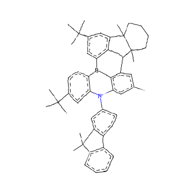 Cc1cc2c3c(c1)N(c1ccc4c(c1)C(C)(C)c1ccccc1-4)c1cc(C(C)(C)C)ccc1B3c1cc(C(C)(C)C)cc3c1C2C1(C)CCCCC31C